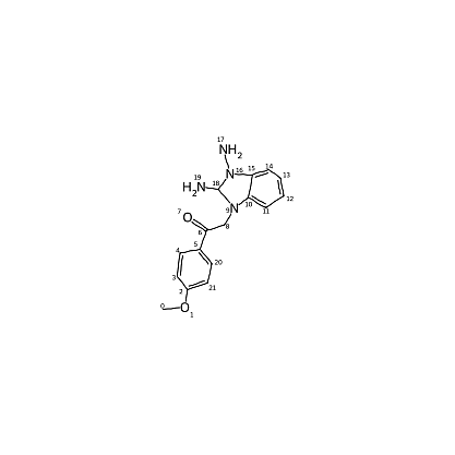 COc1ccc(C(=O)CN2c3ccccc3N(N)C2N)cc1